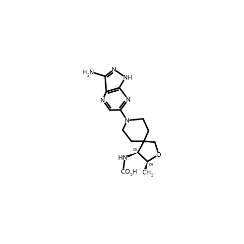 C[C@@H]1OCC2(CCN(c3cnc4c(N)n[nH]c4n3)CC2)[C@@H]1NC(=O)O